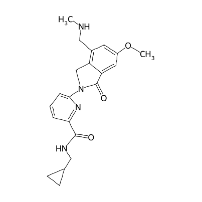 CNCc1cc(OC)cc2c1CN(c1cccc(C(=O)NCC3CC3)n1)C2=O